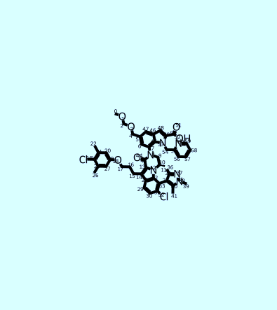 COCOCc1cc(N2C[C@@H](C)n3c(c(CCCOc4cc(C)c(Cl)c(C)c4)c4ccc(Cl)c(-c5c(C)nn(C)c5C)c43)C2=O)c2c(c1)cc(C(=O)O)n2Cc1ccccn1